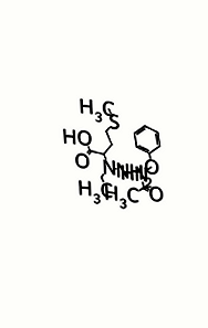 CC(=O)NOc1ccccc1.CCN(N)C(CCSC)C(=O)O